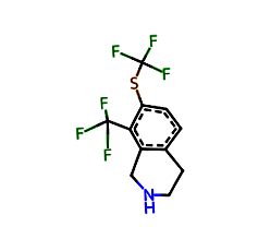 FC(F)(F)Sc1ccc2c(c1C(F)(F)F)CNCC2